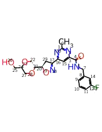 Cc1nc(C(=O)NCc2cccc(F)c2)cc(C2=NO[C@@H]([C@H]3CO[C@H](CO)CO3)C2)n1